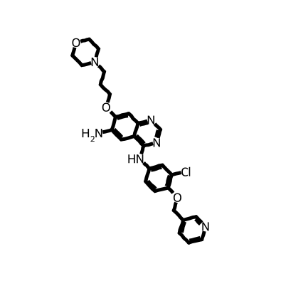 Nc1cc2c(Nc3ccc(OCc4cccnc4)c(Cl)c3)ncnc2cc1OCCCN1CCOCC1